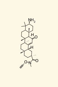 C#CON(C)C(=O)[C@@]1(C)CC[C@]2(C)CC[C@]3(C)C(=CC(=O)[C@@H]4[C@@]5(C)CC[C@H](N)C(C)(C)C5CC[C@]43C)[C@@H]2C1